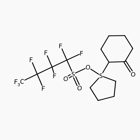 O=C1CCCCC1S1(OS(=O)(=O)C(F)(F)C(F)(F)C(F)(F)C(F)(F)F)CCCC1